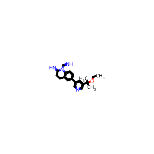 CCOC(C)(C)c1cncc(-c2ccc3c(c2)CCC(=N)N3C=N)c1